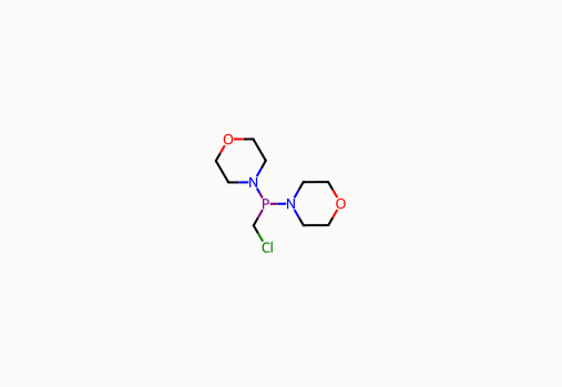 ClCP(N1CCOCC1)N1CCOCC1